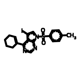 Cc1ccc(S(=O)(=O)n2cc(I)c3c(C4=CCCCC4)ncnc32)cc1